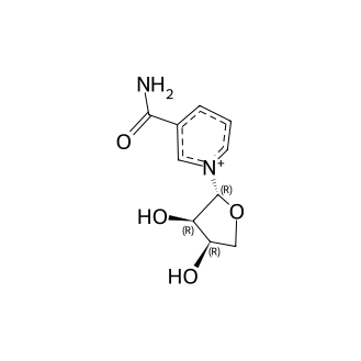 NC(=O)c1ccc[n+]([C@@H]2OC[C@@H](O)[C@H]2O)c1